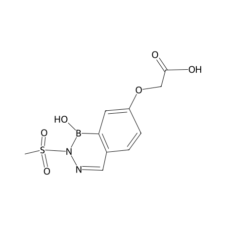 CS(=O)(=O)N1N=Cc2ccc(OCC(=O)O)cc2B1O